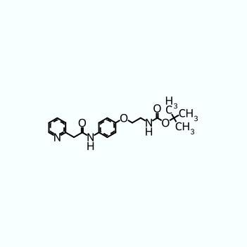 CC(C)(C)OC(=O)NCCOc1ccc(NC(=O)Cc2ccccn2)cc1